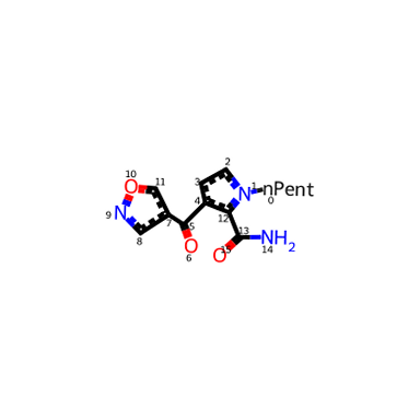 CCCCCn1ccc(C(=O)c2cnoc2)c1C(N)=O